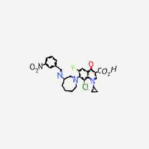 O=C(O)c1cn(C2CC2)c2c(Cl)c(N3CCCCC(N=Cc4cccc([N+](=O)[O-])c4)C3)c(F)cc2c1=O